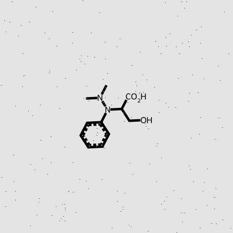 CN(C)N(c1ccccc1)C(CO)C(=O)O